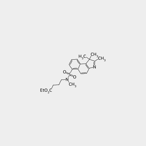 CCOC(=O)CCCN(C)S(=O)(=O)c1cccc2c3c(ccc12)N=C(C)C3(C)C